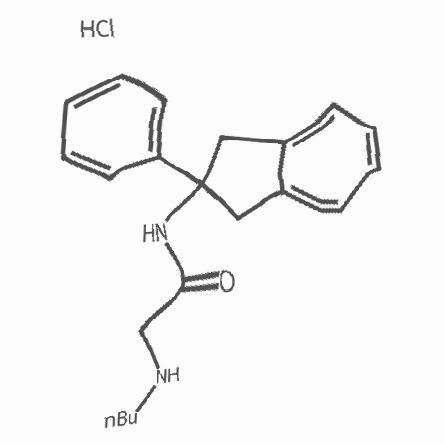 CCCCNCC(=O)NC1(c2ccccc2)Cc2ccccc2C1.Cl